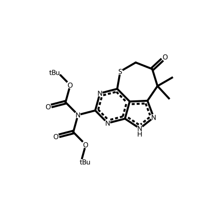 CC(C)(C)OC(=O)N(C(=O)OC(C)(C)C)c1nc2c3c(n[nH]c3n1)C(C)(C)C(=O)CS2